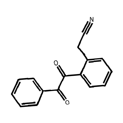 N#CCc1ccccc1C(=O)C(=O)c1ccccc1